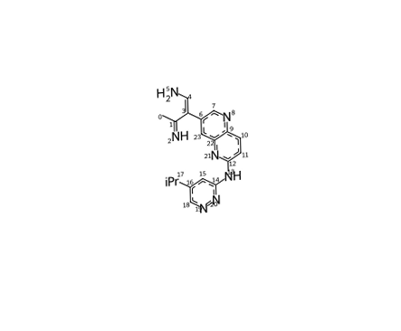 CC(=N)/C(=C\N)c1cnc2ccc(Nc3cc(C(C)C)cnn3)nc2c1